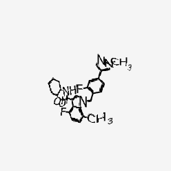 Cc1ccc(F)c2c(C(=O)N[C@H]3CCCC[C@@H]3O)cn(Cc3ccc(-c4cnn(C)c4)cc3F)c12